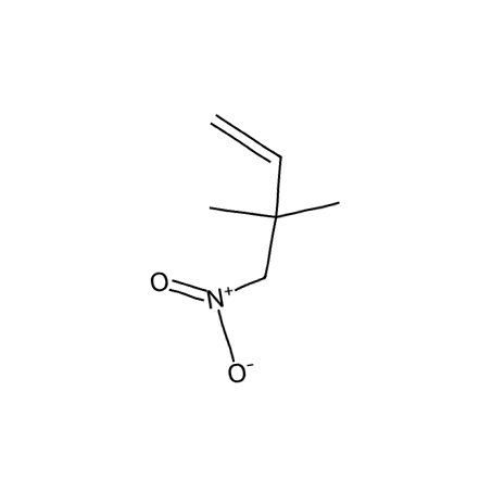 C=CC(C)(C)C[N+](=O)[O-]